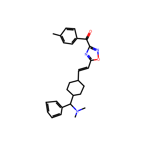 Cc1ccc(C(=O)c2noc(C=CC3CCC(C(c4ccccc4)N(C)C)CC3)n2)cc1